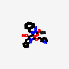 CC(C)(C)OC(=O)NN(Cc1ccccc1)C[C@H](O)[C@H](Cc1ccccc1)NC(=O)OCc1cccnc1